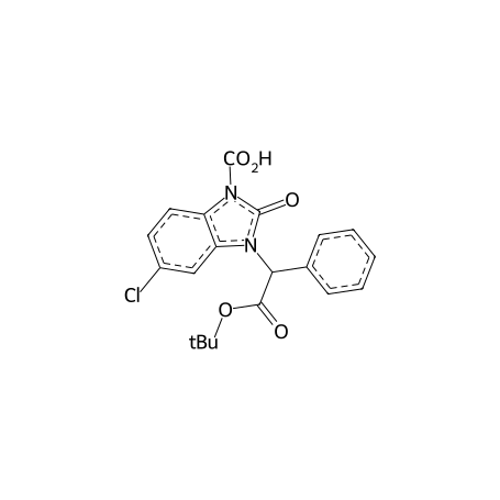 CC(C)(C)OC(=O)C(c1ccccc1)n1c(=O)n(C(=O)O)c2ccc(Cl)cc21